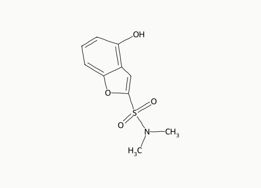 CN(C)S(=O)(=O)c1cc2c(O)cccc2o1